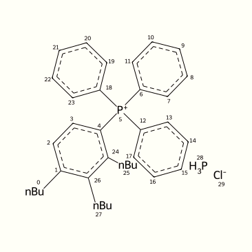 CCCCc1ccc([P+](c2ccccc2)(c2ccccc2)c2ccccc2)c(CCCC)c1CCCC.P.[Cl-]